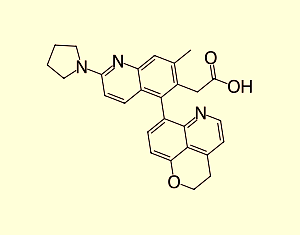 Cc1cc2nc(N3CCCC3)ccc2c(-c2ccc3c4c(ccnc24)CCO3)c1CC(=O)O